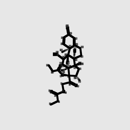 CCC(=O)OCC(=O)[C@@]1(OC(=O)CC)[C@@H](C)C[C@H]2[C@@H]3CCC4=CC(=O)C=C[C@]4(C)[C@@]3(Cl)C(O)C[C@@]21C